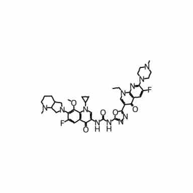 CCn1cc(-c2nnc(NC(=O)Nc3cn(C4CC4)c4c(OC)c(N5CC6CCCN(C)C6C5)c(F)cc4c3=O)o2)c(=O)c2cc(F)c(N3CCN(C)CC3)nc21